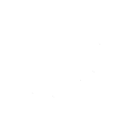 O=C(O)CN1CCC(CN2CCN(c3ccc(NC4CCC(=O)NC4=O)cc3F)CC2)CC1